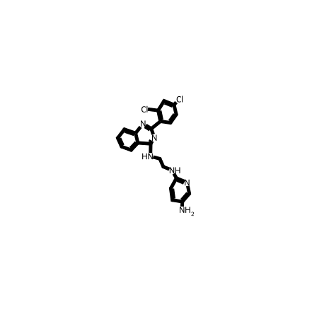 Nc1ccc(NCCNc2nc(-c3ccc(Cl)cc3Cl)nc3ccccc23)nc1